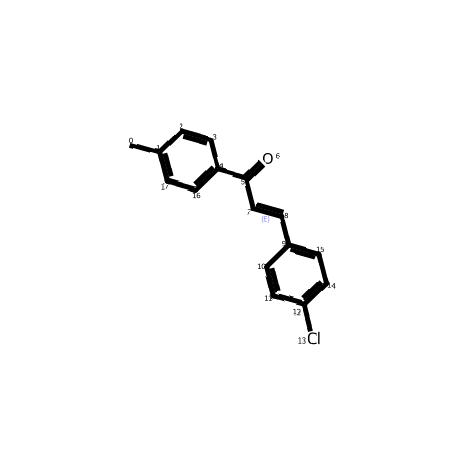 Cc1ccc(C(=O)/C=C/c2ccc(Cl)cc2)cc1